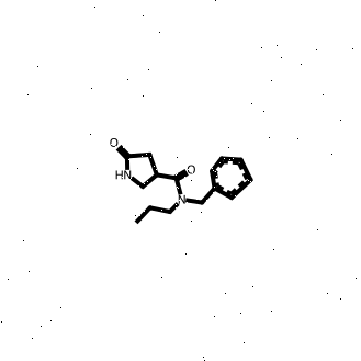 CCCN(Cc1ccccc1)C(=O)C1CNC(=O)C1